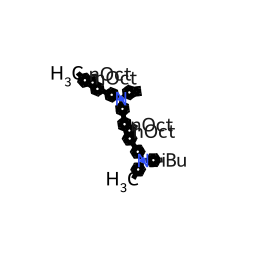 CCCCCCCCC1(CCCCCCCC)c2cc(C)ccc2-c2ccc(-c3ccc(N(c4ccc(-c5ccc6c(c5)C(CCCCCCCC)(CCCCCCCC)c5cc(-c7ccc(N(c8ccc(C)cc8)c8ccc(C(C)CC)cc8)cc7)ccc5-6)cc4)c4ccc5c(c4)CC5)cc3)cc21